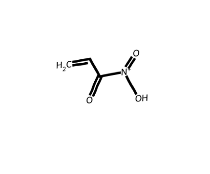 C=CC(=O)[N+](=O)O